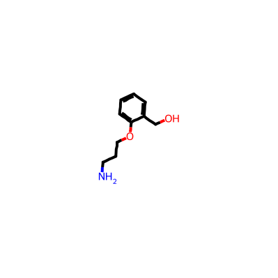 NCCCOc1ccccc1CO